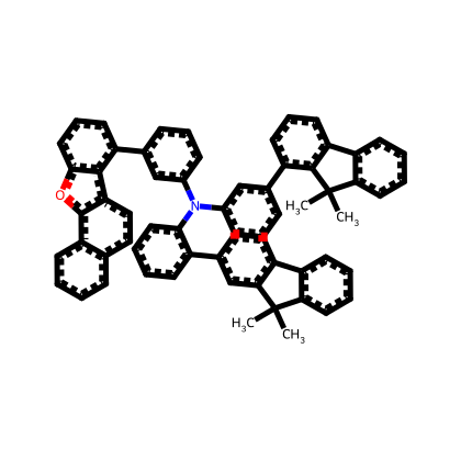 CC1(C)c2ccccc2-c2ccc(-c3ccccc3N(c3cccc(-c4cccc5c4C(C)(C)c4ccccc4-5)c3)c3cccc(-c4cccc5oc6c7ccccc7ccc6c45)c3)cc21